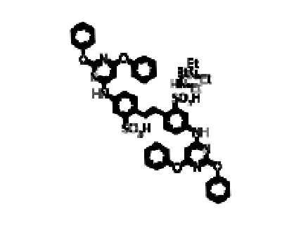 CCNCC.CCNCC.O=S(=O)(O)c1cc(Nc2cc(Oc3ccccc3)nc(Oc3ccccc3)n2)ccc1C=Cc1ccc(Nc2cc(Oc3ccccc3)nc(Oc3ccccc3)n2)cc1S(=O)(=O)O